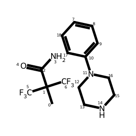 CC(C(N)=O)(C(F)(F)F)C(F)(F)F.c1ccc(N2CCNCC2)cc1